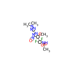 CCCS(=O)(=O)Nc1ccc(F)c(-c2cc(OC)c3nc(-c4cnc(N(CC)CC)nc4)nc(N4CCOCC4)c3c2)c1F